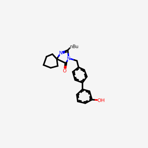 CCCCC1=NC2(CCCCC2)C(=O)N1Cc1ccc(-c2cccc(O)c2)cc1